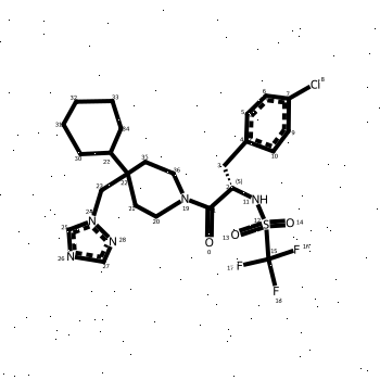 O=C([C@H](Cc1ccc(Cl)cc1)NS(=O)(=O)C(F)(F)F)N1CCC(Cn2cncn2)(C2CCCCC2)CC1